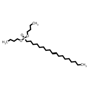 CCCCCCCCC=CCCCCCCCCP(=O)(OCCCC)OCCCC